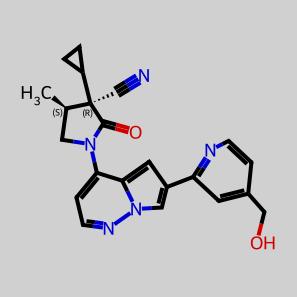 C[C@@H]1CN(c2ccnn3cc(-c4cc(CO)ccn4)cc23)C(=O)[C@]1(C#N)C1CC1